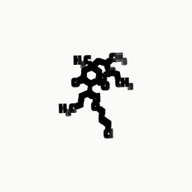 CCCC(=NOCC=CCl)[C@H]1C(=O)C[C@](C)(CC(C)[S+]([O-])CC)CC1=O